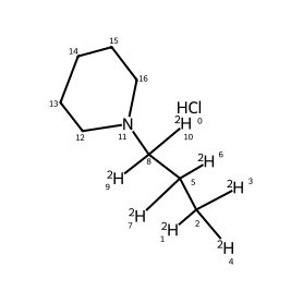 Cl.[2H]C([2H])([2H])C([2H])([2H])C([2H])([2H])N1CCCCC1